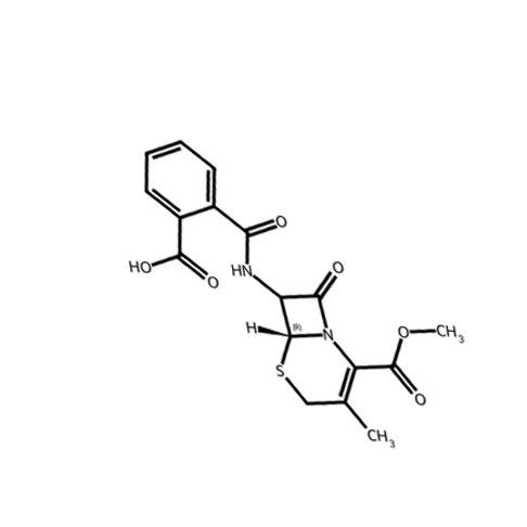 COC(=O)C1=C(C)CS[C@@H]2C(NC(=O)c3ccccc3C(=O)O)C(=O)N12